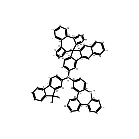 CC1(C)c2ccccc2-c2ccc(N(c3ccc4c(c3)-c3ccccc3-c3ccccc3O4)c3ccc4c(c3)-c3cc5ccccc5cc3C43c4ccccc4-c4ccccc4-c4ccccc43)cc21